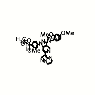 COc1ccc(CN(C(=O)O)c2nn(-c3ccc(NS(C)(=O)=O)cc3OC)c3cc(-c4cnn5cccnc45)ncc23)c(OC)c1